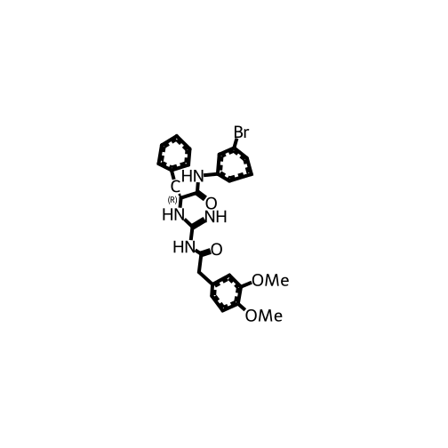 COc1ccc(CC(=O)NC(=N)N[C@H](Cc2ccccc2)C(=O)Nc2cccc(Br)c2)cc1OC